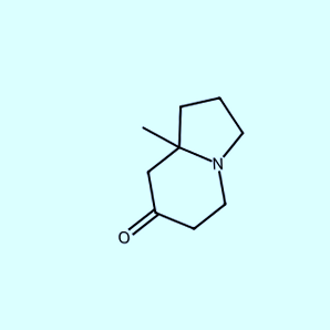 CC12CCCN1CCC(=O)C2